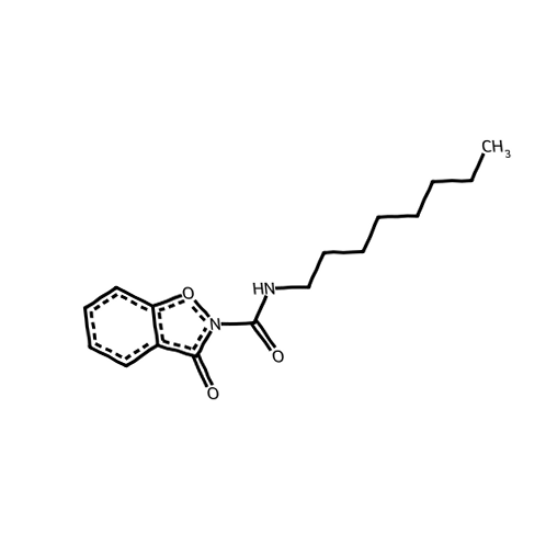 CCCCCCCCNC(=O)n1oc2ccccc2c1=O